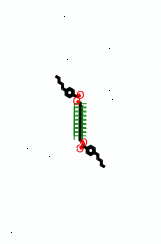 CCCCCc1ccc(C(=O)OCC(F)(F)C(F)(F)C(F)(F)C(F)(F)C(F)(F)C(F)(F)C(F)(F)C(F)(F)COC(=O)c2ccc(CCCCC)cc2)cc1